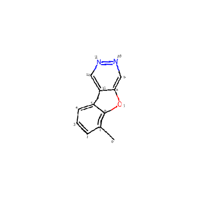 Cc1cccc2c1oc1cnncc12